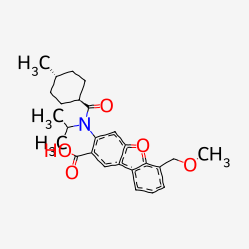 COCc1cccc2c1oc1cc(N(C(=O)[C@H]3CC[C@H](C)CC3)C(C)C)c(C(=O)O)cc12